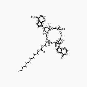 CCCCCCCCCCOC(=O)OCSP1(=O)OC[C@H]2O[C@@H](n3cnc4c(N)ncnc43)[C@H](F)[C@@H]2OCP(=O)(O)OC[C@H]2O[C@@H](n3cnc4c(=O)[nH]cnc43)[C@H](O1)[C@@H]2F